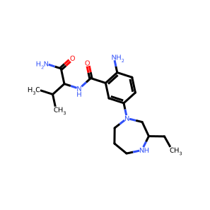 CCC1CN(c2ccc(N)c(C(=O)NC(C(N)=O)C(C)C)c2)CCCN1